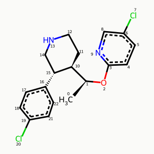 C[C@H](Oc1ccc(Cl)cn1)[C@@H]1CCNC[C@H]1c1ccc(Cl)cc1